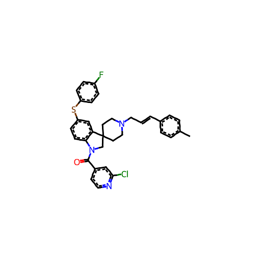 Cc1ccc(C=CCN2CCC3(CC2)CN(C(=O)c2ccnc(Cl)c2)c2ccc(Sc4ccc(F)cc4)cc23)cc1